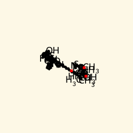 C#Cc1c(F)ccc2cc(O)cc(-c3ncc4c(N5CC6CCC(C5)N6)nc(OC5CCCN(CCCCCCCCCCC(=O)NC(C(=O)N6C[C@H](O)C[C@H]6C(=O)N[C@@H](C)c6ccc(-c7scnc7C)cc6)C(C)(C)C)C5)nc4c3F)c12